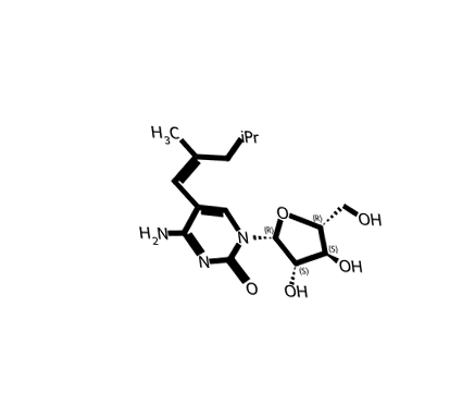 CC(=Cc1cn([C@@H]2O[C@H](CO)[C@@H](O)[C@@H]2O)c(=O)nc1N)CC(C)C